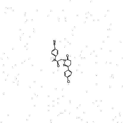 CN(C(=O)CN1N=C(c2ccc(Cl)cc2)CCC1=O)c1ccc(C#N)cc1